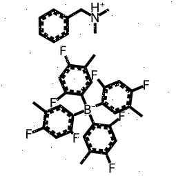 C[NH+](C)Cc1ccccc1.Cc1cc([B-](c2cc(C)c(F)cc2F)(c2cc(C)c(F)cc2F)c2cc(C)c(F)cc2F)c(F)cc1F